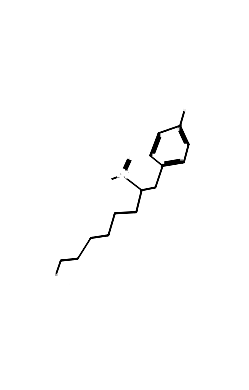 CCCCCCCC(Cc1ccc(O)cc1)[N+](=O)[O-]